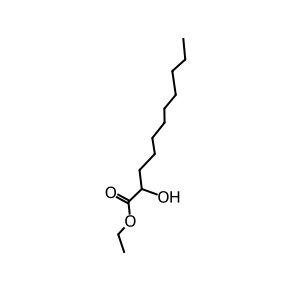 CCCCCCCCCC(O)C(=O)OCC